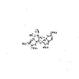 CCCCc1nc2ccc(OC)cc2cc1Cc1c(O)nc(CCC)c2cc(OC)c(OC)cc12.Cl.Cl